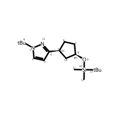 CC(C)(C)n1ccc([C@H]2CC[C@@H](O[Si](C)(C)C(C)(C)C)C2)n1